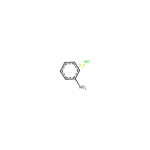 Cl.O=[N+]([O-])c1ccccc1.S